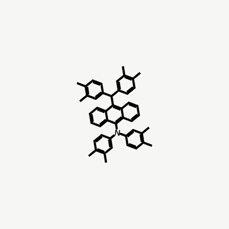 Cc1ccc(C(c2ccc(C)c(C)c2)c2c3ccccc3c(N(c3ccc(C)c(C)c3)c3ccc(C)c(C)c3)c3ccccc23)cc1C